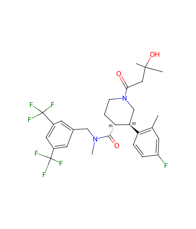 Cc1cc(F)ccc1[C@@H]1CN(C(=O)CC(C)(C)O)CC[C@H]1C(=O)N(C)Cc1cc(C(F)(F)F)cc(C(F)(F)F)c1